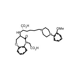 COc1ccccc1N1CCN(CCCC[C@H](NC2COc3ccccc3N(CC(=O)O)C2=O)C(=O)O)CC1